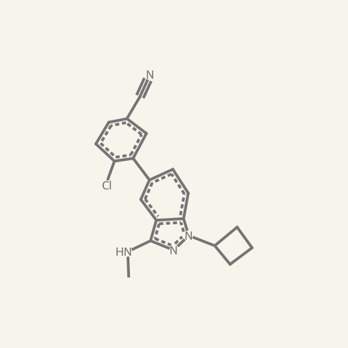 CNc1nn(C2CCC2)c2ccc(-c3cc(C#N)ccc3Cl)cc12